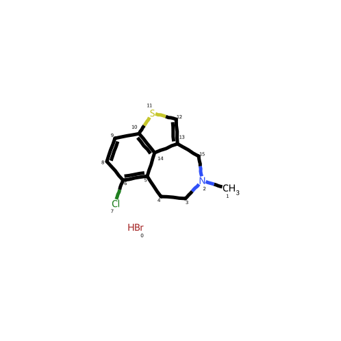 Br.CN1CCc2c(Cl)ccc3scc(c23)C1